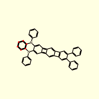 c1ccc(-c2cc3c(cc2-c2ccccc2)c2cc4c5cc(N(c6ccccc6)c6ccccc6)c(N(c6ccccc6)c6ccccc6)cc5c4cc32)cc1